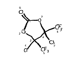 O=C1OC(Cl)(C(F)(F)F)C(Cl)(C(F)(F)F)O1